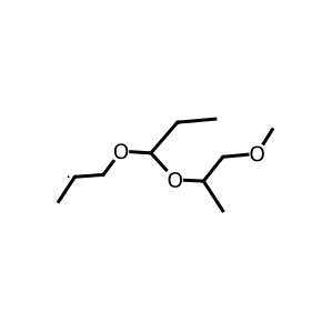 C[CH]COC(CC)OC(C)COC